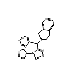 c1ccc(C(c2nnnn2C2CCCC2)N2CCc3ccccc3C2)cc1